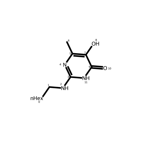 CCCCCCCNc1nc(C)c(O)c(=O)[nH]1